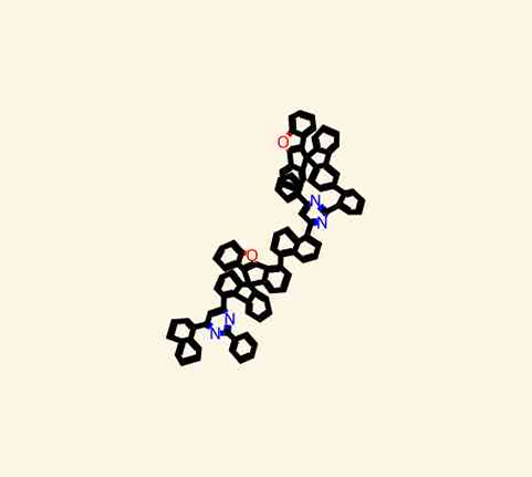 c1ccc(-c2cc(-c3cccc4c(-c5cccc6c5-c5oc7ccccc7c5C65c6ccccc6-c6c(-c7cc(-c8cccc9ccccc89)nc(-c8ccccc8)n7)cccc65)cccc34)nc(-c3ccccc3-c3ccc4c(c3)-c3ccccc3C43c4ccccc4-c4oc5ccccc5c43)n2)cc1